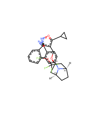 N#Cc1ccc(N2[C@@H]3CC[C@H]2C[C@@H](OCc2c(-c4ccccc4OC(F)(F)F)noc2C2CC2)C3)cc1F